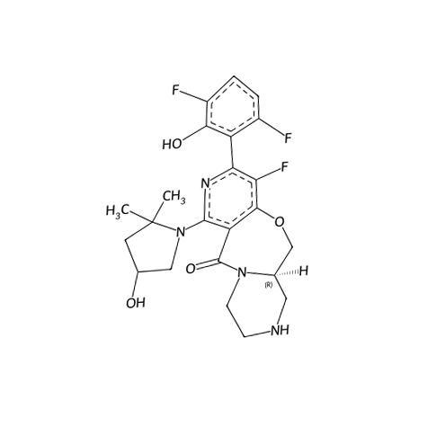 CC1(C)CC(O)CN1c1nc(-c2c(F)ccc(F)c2O)c(F)c2c1C(=O)N1CCNC[C@@H]1CO2